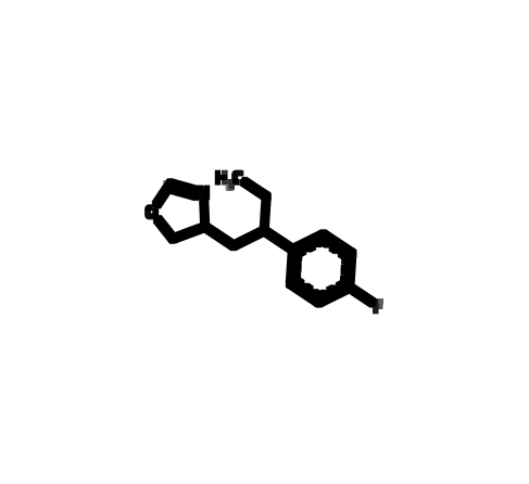 CCC(CC1CO[C]=N1)c1ccc(F)cc1